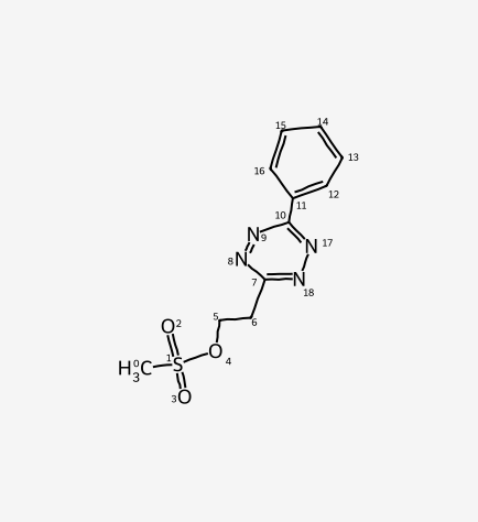 CS(=O)(=O)OCCc1nnc(-c2ccccc2)nn1